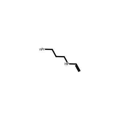 C=CPCCCCCC